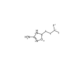 CC(F)CCC1NC(N)=NO1